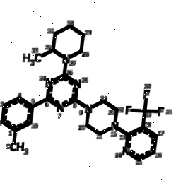 Cc1cccc(-c2nc(N3CCN(c4ncccc4C(F)(F)F)CC3)nc(N3CCCCC3C)n2)c1